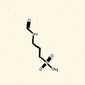 O=CNCCCS(=O)(=O)O